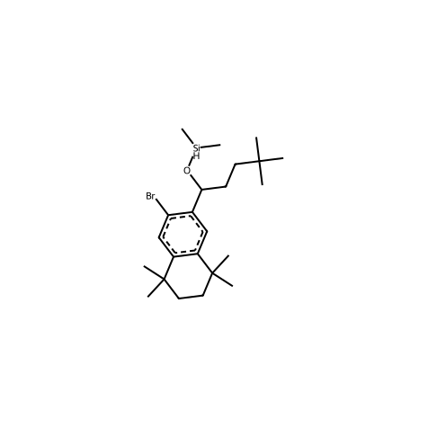 C[SiH](C)OC(CCC(C)(C)C)c1cc2c(cc1Br)C(C)(C)CCC2(C)C